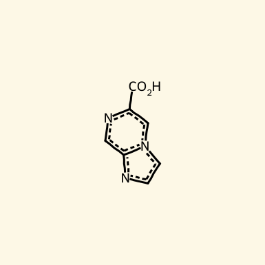 O=C(O)c1cn2ccnc2cn1